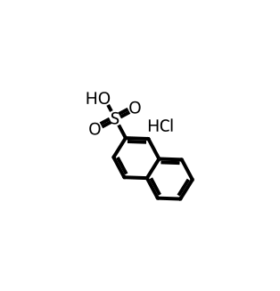 Cl.O=S(=O)(O)c1ccc2ccccc2c1